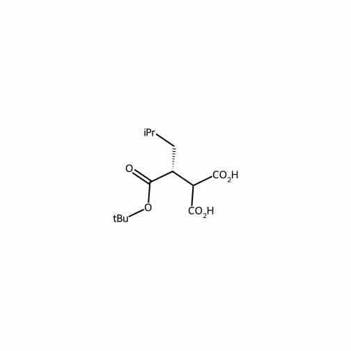 CC(C)C[C@@H](C(=O)OC(C)(C)C)C(C(=O)O)C(=O)O